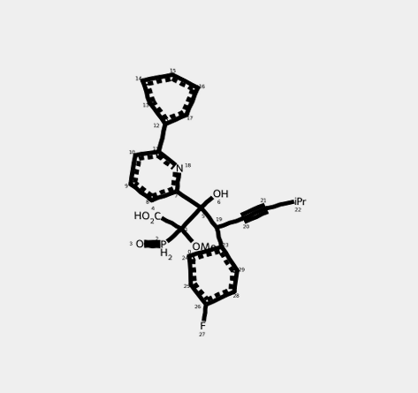 COC([PH2]=O)(C(=O)O)C(O)(c1cccc(-c2ccccc2)n1)C(C#CC(C)C)c1ccc(F)cc1